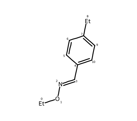 CCO/N=C/c1ccc(CC)cc1